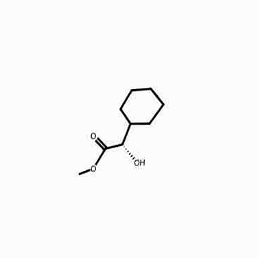 COC(=O)[C@@H](O)C1CCCCC1